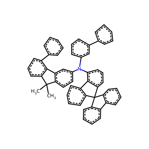 CC1(C)c2ccc(N(c3cccc(-c4ccccc4)c3)c3cccc4c3-c3ccccc3C43c4ccccc4-c4ccccc43)cc2-c2c(-c3ccccc3)cccc21